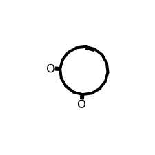 O=C1CCC/C=C\CCCCCCC(=O)CCC1